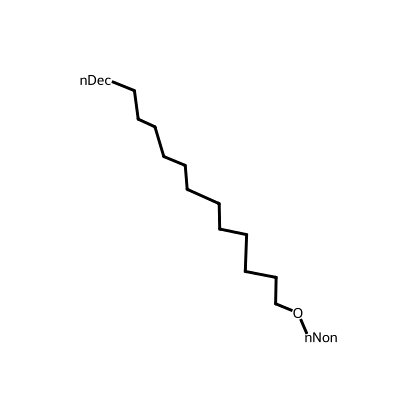 CCCCCCCCCCCCCCCCCCCCCCOCCCCCCCCC